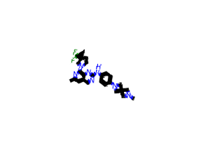 Cc1cc2cnc(Nc3ccc(N4CC5(CN(C)C5)C4)cc3)nc2c(N2CCC3(C2)CC3(F)F)n1